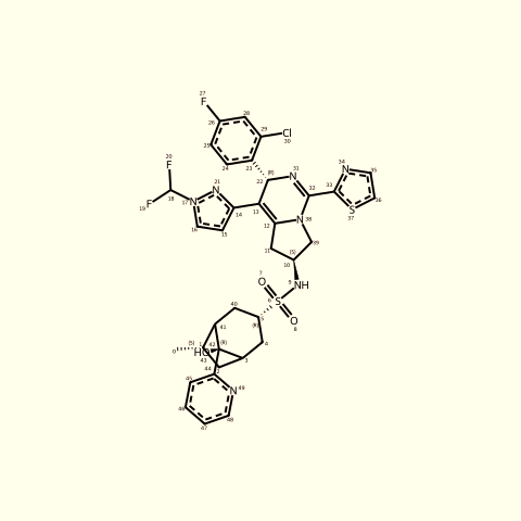 C[C@H]1CC2C[C@@H](S(=O)(=O)N[C@H]3CC4=C(c5ccn(C(F)F)n5)[C@H](c5ccc(F)cc5Cl)N=C(c5nccs5)N4C3)CC1[C@@]2(O)c1ccccn1